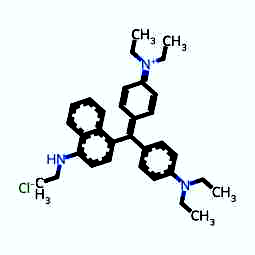 CCNc1ccc(C(=C2C=CC(=[N+](CC)CC)C=C2)c2ccc(N(CC)CC)cc2)c2ccccc12.[Cl-]